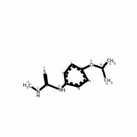 CNC(=S)Nc1ccc(OC(C)C)cc1